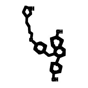 Oc1ccc(-c2ccc3cc(O)ccc3c2Cc2ccc(OCCCCC3CCNC3)cc2)cc1